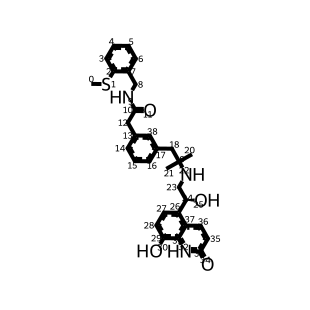 CSc1ccccc1CNC(=O)Cc1cccc(CC(C)(C)NC[C@@H](O)c2ccc(O)c3[nH]c(=O)ccc23)c1